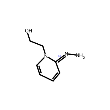 N/N=c1\ccccn1CCO